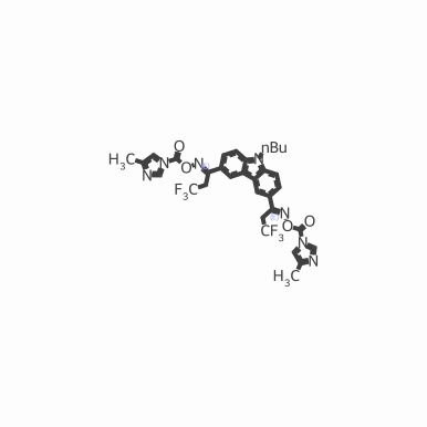 CCCCn1c2ccc(/C(CC(F)(F)F)=N/OC(=O)n3cnc(C)c3)cc2c2cc(/C(CC(F)(F)F)=N/OC(=O)n3cnc(C)c3)ccc21